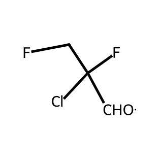 O=[C]C(F)(Cl)CF